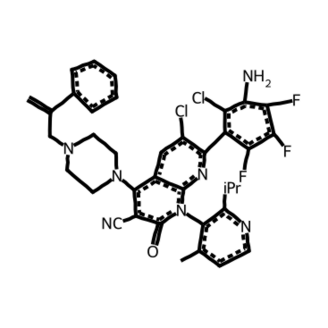 C=C(CN1CCN(c2c(C#N)c(=O)n(-c3c(C)ccnc3C(C)C)c3nc(-c4c(F)c(F)c(F)c(N)c4Cl)c(Cl)cc23)CC1)c1ccccc1